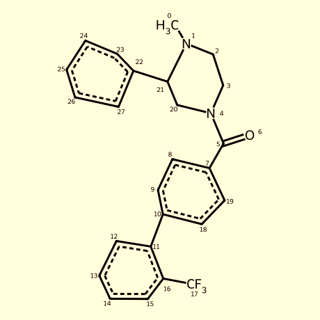 CN1CCN(C(=O)c2ccc(-c3ccccc3C(F)(F)F)cc2)CC1c1ccccc1